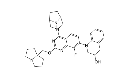 OC1Cc2ccccc2N(c2ccc3c(N4CC5CCC(C4)N5)nc(OCC45CCCN4CCC5)nc3c2F)C1